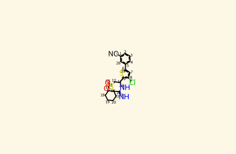 N#Cc1cccc(-c2cc(Cl)c(C3CS(=O)(=O)C4(CCCCC4)C(=N)N3)s2)c1